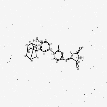 Cc1cc(/C=C2\SC(=O)NC2=O)ccc1-c1ccc(O)c(C23CC4CC(CC(C4)C2)C3)c1